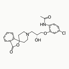 CC(=O)Nc1ccc(Cl)cc1OC[C@H](O)CN1CCC2(CC1)OC(=O)c1ccccc12